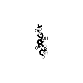 CC(C)(C)OC(=O)N1CCC(O)(c2ccc3c(c2F)C(=O)N(C2CCC(=O)NC2=O)C3=O)CC1